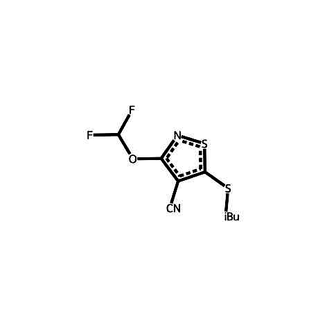 CCC(C)Sc1snc(OC(F)F)c1C#N